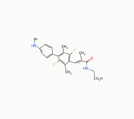 C/C(=C\c1c(C)c(F)c(-c2ccc(NC(C)C)cc2)c(C)c1F)C(=O)NCC(=O)O